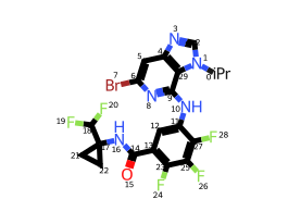 CC(C)n1cnc2cc(Br)nc(Nc3cc(C(=O)NC4(C(F)F)CC4)c(F)c(F)c3F)c21